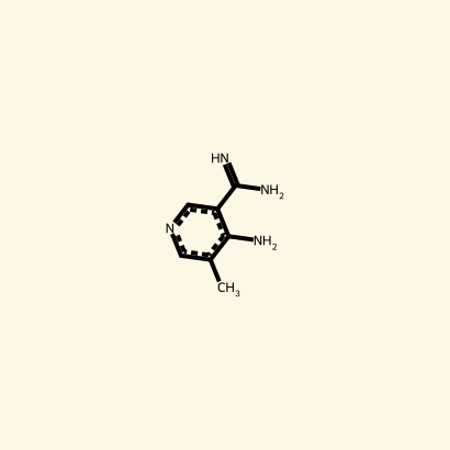 Cc1cncc(C(=N)N)c1N